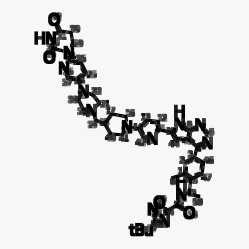 Cc1cc(-c2ncnc3[nH]c(-c4ccc(N5CCC(CN6CCN(c7ccc(N8CCC(=O)NC8=O)nc7)CC6)CC5)cn4)cc23)ccc1[C@@H](C)NC(=O)c1nc(C(C)(C)C)no1